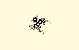 CCOC(=O)C(CCO)=C(c1ccc(S(C)(=O)=O)cc1)c1cc(F)cc(F)c1